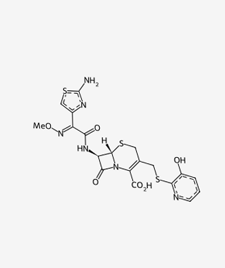 CON=C(C(=O)N[C@@H]1C(=O)N2C(C(=O)O)=C(CSc3ncccc3O)CS[C@@H]12)c1csc(N)n1